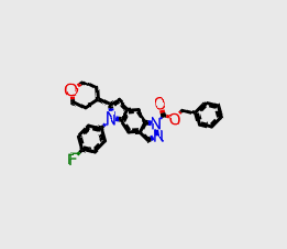 O=C(OCc1ccccc1)n1ncc2cc3c(cc(C4CCOCC4)n3-c3ccc(F)cc3)cc21